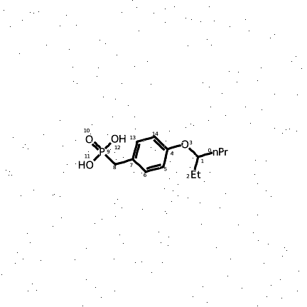 CCCC(CC)Oc1ccc(CP(=O)(O)O)cc1